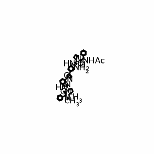 C=C(Nc1ccc(-c2cnc(-c3cccc4[nH]c([C@@H]5CCCN5C(=O)[C@@H](c5ccccc5)N(C)C)nc34)o2)cc1N)[C@@H]1CCCN1C(=O)[C@H](NC(C)=O)c1ccccc1